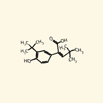 CC(C)(C)C=C(C(=O)O)c1ccc(O)c(C(C)(C)C)c1